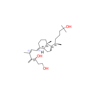 C=C(/C(C)=C\C=C1/CCC[C@]2(C)[C@@H]([C@H](C)CCCC(C)(C)O)CC[C@@H]12)[C@@H](O)CCO